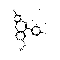 COc1ccc2c(c1)C(c1ccc(N)cc1)=Nn1cc(C)nc1C2